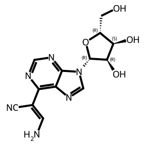 N#CC(=CN)c1ncnc2c1ncn2[C@@H]1O[C@H](CO)[C@@H](O)[C@H]1O